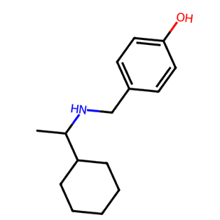 CC(NCc1ccc(O)cc1)C1CCCCC1